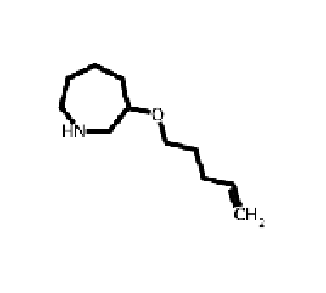 C=CCCCOC1CCCCNC1